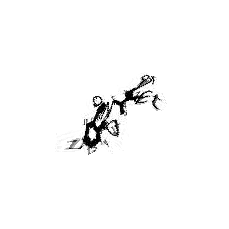 CCC(CBr)C(C)CN1C(=O)c2ccccc2C1=O